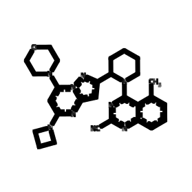 Cc1cccc2nc(C#N)nc(N3CCCCC3c3cc4nc(N5CCC5)cc(N5CCOCC5)n4n3)c12